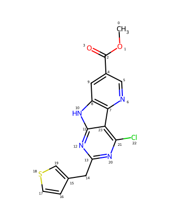 COC(=O)c1cnc2c(c1)[nH]c1nc(Cc3ccsc3)nc(Cl)c12